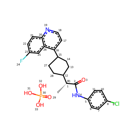 C[C@@H](C(=O)Nc1ccc(Cl)cc1)C1CCC(c2ccnc3ccc(F)cc23)CC1.O=P(O)(O)O